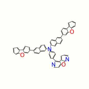 c1ccc2c(c1)oc1cc(-c3ccc4cc(N(c5ccc(-c6nccc7oc8ncccc8c67)cc5)c5ccc6cc(-c7ccc8c(c7)oc7ccccc78)ccc6c5)ccc4c3)ccc12